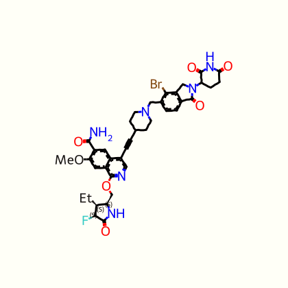 CC[C@@H]1[C@H](F)C(=O)N[C@@H]1COc1ncc(C#CC2CCN(Cc3ccc4c(c3Br)CN(C3CCC(=O)NC3=O)C4=O)CC2)c2cc(C(N)=O)c(OC)cc12